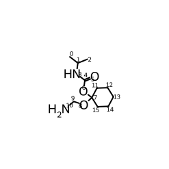 CC(C)NC(=O)OC1(OCN)CCCCC1